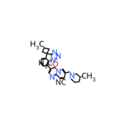 CC1CC(c2cccc(-c3cnc4c(C#N)cc(CN5CCC[C@H](C)C5)cn4c3=O)c2)(c2nncn2C)C1